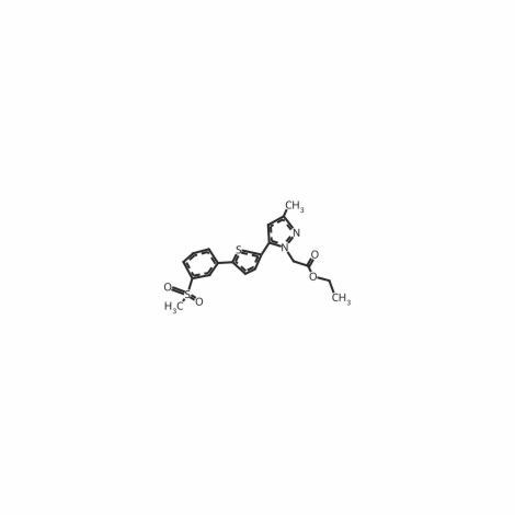 CCOC(=O)Cn1nc(C)cc1-c1ccc(-c2cccc(S(C)(=O)=O)c2)s1